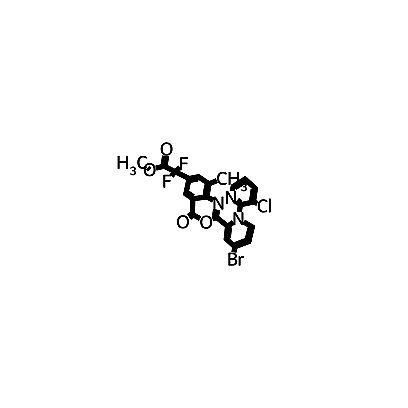 COC(=O)C(F)(F)c1cc(C)c2nc(C3=CC(Br)=C=CN3c3ncccc3Cl)oc(=O)c2c1